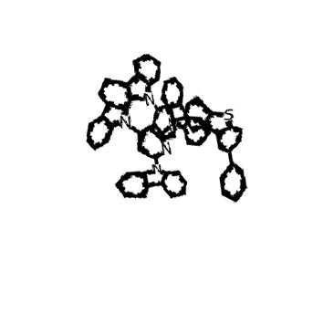 c1ccc(-c2ccc3sc4ccc(-c5cccc(-n6c7ccccc7c7ccc8c9ccccc9n(-c9cc(-n%10c%11ccccc%11c%11ccccc%11%10)nc(-n%10c%11ccccc%11c%11ccccc%11%10)c9)c8c76)c5)cc4c3c2)cc1